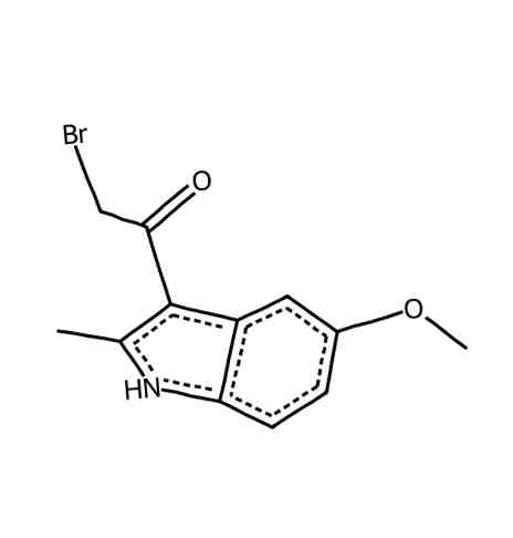 COc1ccc2[nH]c(C)c(C(=O)CBr)c2c1